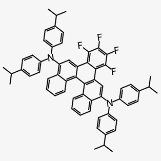 CC(C)c1ccc(N(c2ccc(C(C)C)cc2)c2cc3c4c(F)c(F)c(F)c(F)c4c4cc(N(c5ccc(C(C)C)cc5)c5ccc(C(C)C)cc5)c5ccccc5c4c3c3ccccc23)cc1